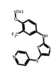 CCCCCCCCOc1ccc(Nc2ncc(Sc3ccncc3)s2)cc1C(F)(F)F